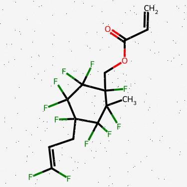 C=CC(=O)OCC1(F)C(C)(F)C(F)(F)C(F)(CC=C(F)F)C(F)(F)C1(F)F